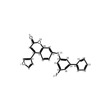 O=c1cc(-c2ccoc2)c2ccc(Sc3cc(F)cc(-c4ccccc4)c3)cc2o1